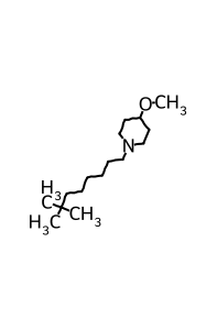 COC1CCN(CCCCCCC(C)(C)C)CC1